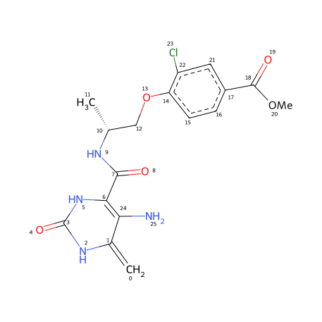 C=C1NC(=O)NC(C(=O)N[C@H](C)COc2ccc(C(=O)OC)cc2Cl)=C1N